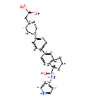 O=C(O)CC1CCC(c2ccc(-c3ccc4c(c3)CCCC4C(=O)Nc3ccncc3)cc2)CC1